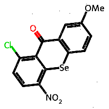 COc1ccc2[se]c3c([N+](=O)[O-])ccc(Cl)c3c(=O)c2c1